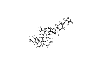 CC(Oc1ccc2ccc(C3=CC=C4C=CCC(N(c5ccc(-c6ccccc6)cc5)c5cccc6c7c(sc56)CCC=C7)C4C3)cc2c1N)c1ccc(-c2ccccc2)cc1